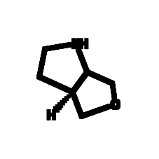 C1C[C@@H]2COCC2N1